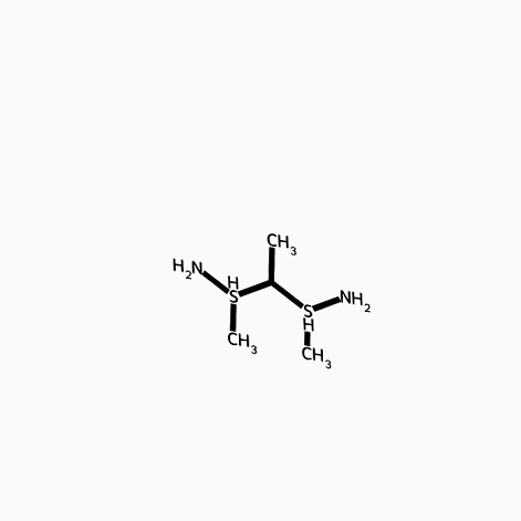 CC([SH](C)N)[SH](C)N